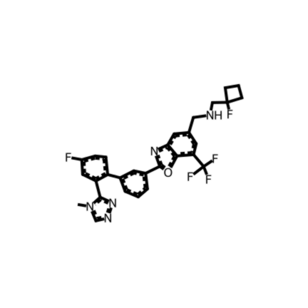 Cn1cnnc1-c1cc(F)ccc1-c1cccc(-c2nc3cc(CNCC4(F)CCC4)cc(C(F)(F)F)c3o2)c1